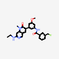 CCNc1cc2c(cn1)cc(-c1cc(NC(=O)c3cccc(CF)c3)cc(OC)c1)c(=O)n2C